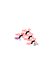 N.O=C([O-])C(O)CO.O=C([O-])C(O)CO.O=C([O-])C(O)CO.O=C([O-])C(O)CO.[Zr+4]